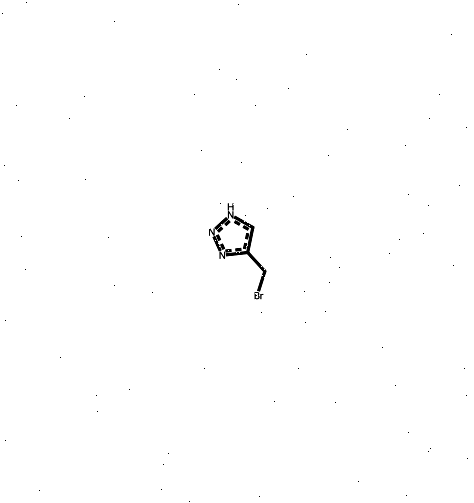 BrCc1c[nH]nn1